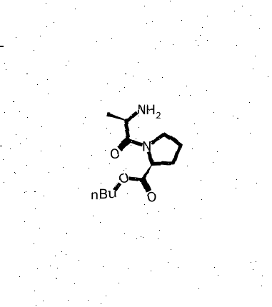 CCCCOC(=O)[C@@H]1CCCN1C(=O)[C@@H](C)N